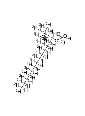 [2H]OP(=O)([O-])OC([2H])(C([2H])([2H])C([2H])([2H])C([2H])([2H])C([2H])([2H])C([2H])([2H])C([2H])([2H])C([2H])([2H])C([2H])([2H])C([2H])([2H])C([2H])([2H])C([2H])([2H])C([2H])([2H])[2H])C([2H])([2H])[N+](C([2H])([2H])[2H])(C([2H])([2H])[2H])C([2H])([2H])[2H]